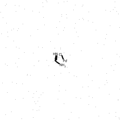 N=CN.[Cl][Pd]